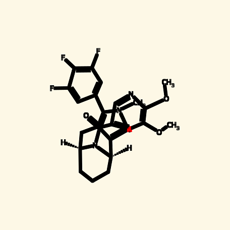 COc1cc(C(=O)N2[C@H]3CCC[C@@H]2c2nn(C)c(-c4cc(F)c(F)c(F)c4)c2C3)cnc1OC